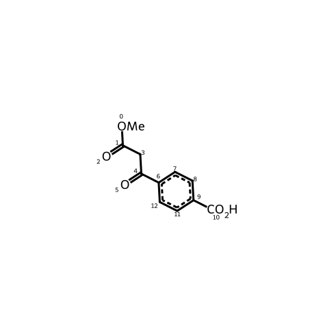 COC(=O)CC(=O)c1ccc(C(=O)O)cc1